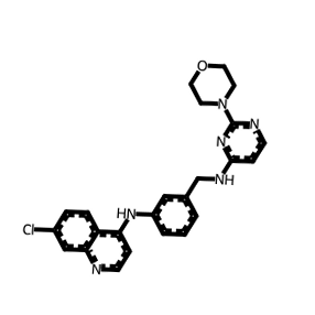 Clc1ccc2c(Nc3cccc(CNc4ccnc(N5CCOCC5)n4)c3)ccnc2c1